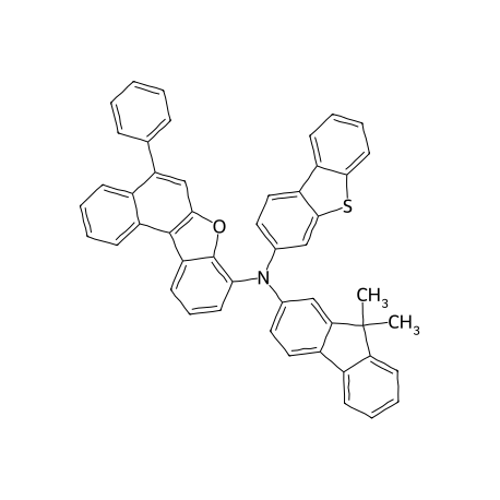 CC1(C)c2ccccc2-c2ccc(N(c3ccc4c(c3)sc3ccccc34)c3cccc4c3oc3cc(-c5ccccc5)c5ccccc5c34)cc21